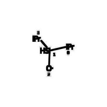 CC(C)[SiH]([O])C(C)C